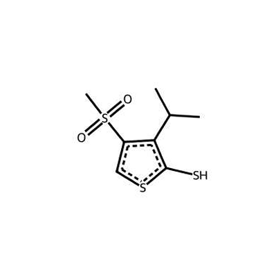 CC(C)c1c(S(C)(=O)=O)csc1S